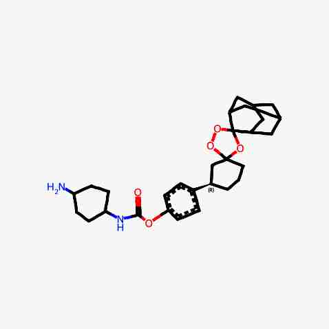 NC1CCC(NC(=O)Oc2ccc([C@@H]3CCCC4(C3)OOC3(O4)C4CC5CC(C4)CC3C5)cc2)CC1